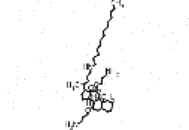 CCCCCCCCCCCCCCNCCC[C@@H](C)C1CC[C@H]2C3[C@H](OCCCN)CC4CCCCC4(C)[C@H]3C[C@H](OCCCN)C12C